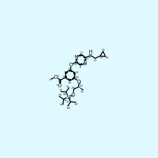 COC(=O)c1cc(Oc2cnc(NCC3CC3)cn2)cc(O[C@@H](C)CO[Si](C(C)C)(C(C)C)C(C)C)c1